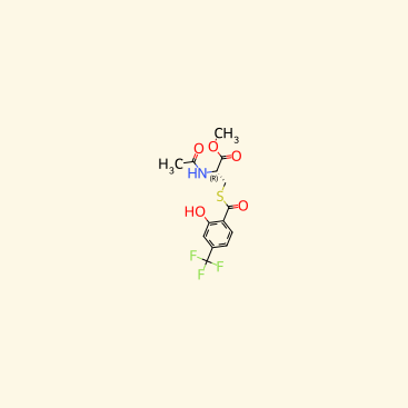 COC(=O)[C@H](CSC(=O)c1ccc(C(F)(F)F)cc1O)NC(C)=O